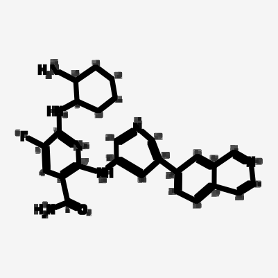 NC(=O)c1cc(F)c(NC2CCCCC2N)nc1Nc1cncc(-c2ccc3ccncc3c2)c1